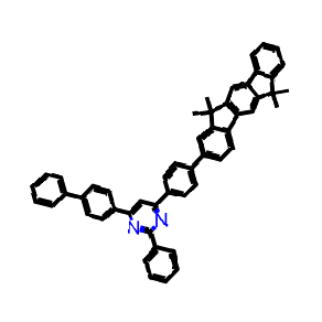 CC1(C)c2ccccc2-c2cc3c(cc21)-c1ccc(-c2ccc(-c4cc(-c5ccc(-c6ccccc6)cc5)nc(-c5ccccc5)n4)cc2)cc1C3(C)C